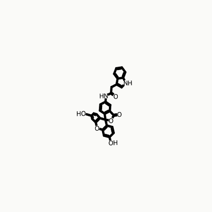 O=C(Cc1c[nH]c2ccccc12)Nc1ccc2c(c1)C(=O)OC21c2ccc(O)cc2Oc2cc(O)ccc21